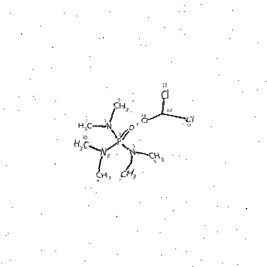 CN(C)P(=O)(N(C)C)N(C)C.ClC(Cl)Cl